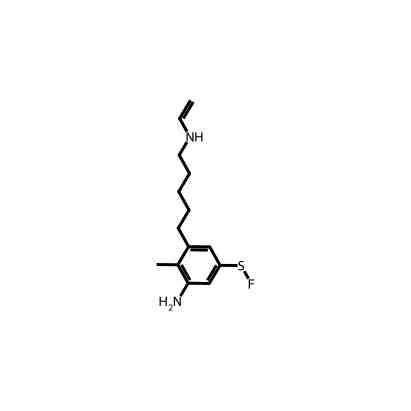 C=CNCCCCCc1cc(SF)cc(N)c1C